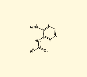 CC(=O)Nc1ccccc1NC(=O)C(C)C